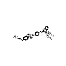 CCCCc1ccc(S(=O)(=O)NC[C@H]2CC[C@H](CNc3nc(N(C)C)c4ccccc4n3)CC2)cc1